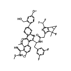 CNc1c(-n2c(C(Cc3cc(F)cc(F)c3)NC(=O)Cn3nc(C(F)F)c4c3C(C)(F)C3CC43)nc3cc(-c4ccc(OC)cc4CO)ccc3c2=O)ccc(Cl)c1C(=N)NSC